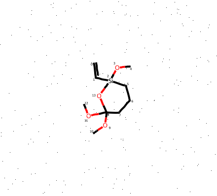 C=C[Si]1(OC)CCCC(OC)(OC)O1